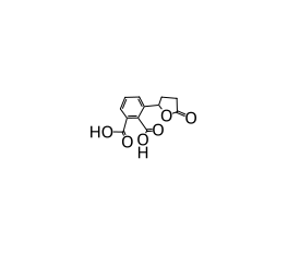 O=C1CCC(c2cccc(C(=O)O)c2C(=O)O)O1